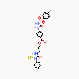 Cc1ccc(S(=O)(=O)NC(=O)Nc2ccc(C(=O)OCCCNC(=O)N(S)c3ccccc3)cc2)cc1